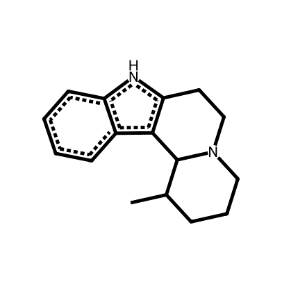 CC1CCCN2CCc3[nH]c4ccccc4c3C12